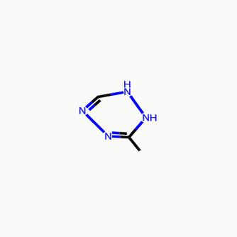 CC1=NN=CNN1